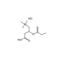 CCC(=O)OC(CC(=O)O)C[N+](C)(C)C.Cl